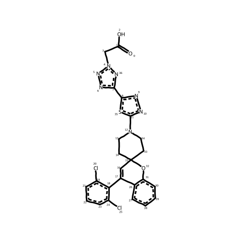 O=C(O)Cn1nnc(-c2nnc(N3CCC4(C=C(c5c(Cl)cccc5Cl)c5ccccc5O4)CC3)s2)n1